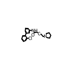 O=C(CCCCN1CCCCC1)Nc1cccc(-c2ccccc2Cl)c1